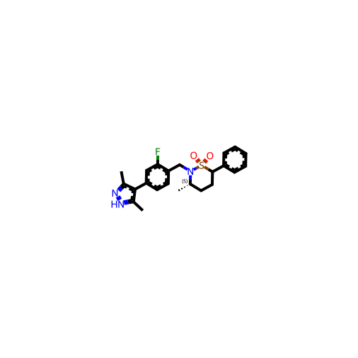 Cc1n[nH]c(C)c1-c1ccc(CN2[C@@H](C)CCC(c3ccccc3)S2(=O)=O)c(F)c1